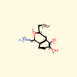 CC(C)(C)CC1Cc2c(ccc(O)c2O)C(CN)O1